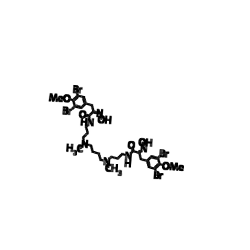 COc1c(Br)cc(C/C(=N/O)C(=O)NCCCN(C)CCCCN(C)CCCNC(=O)/C(Cc2cc(Br)c(OC)c(Br)c2)=N\O)cc1Br